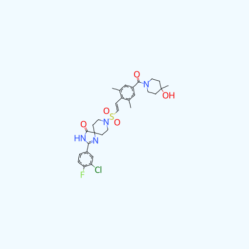 Cc1cc(C(=O)N2CCC(C)(O)CC2)cc(C)c1C=CS(=O)(=O)N1CCC2(CC1)N=C(c1ccc(F)c(Cl)c1)NC2=O